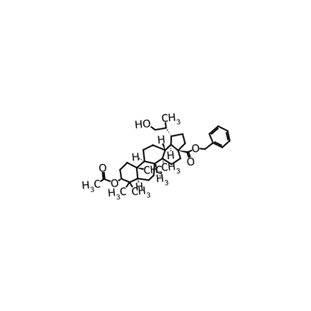 CC(=O)O[C@H]1CC[C@]2(C)[C@H]3CC[C@@H]4[C@H]5[C@H](C(C)CO)CC[C@]5(C(=O)OCc5ccccc5)CC[C@@]4(C)[C@]3(C)CC[C@H]2C1(C)C